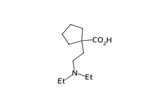 CCN(CC)CCC1(C(=O)O)CCCC1